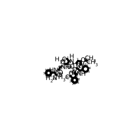 CCC(NC(=O)[C@@H]1C[C@@H](OC(C)(C)C)CN1C(=O)[C@@H](NC(=O)c1ccccc1C(C)=O)C1CCCCC1)C(=O)C(=O)NCC(=O)N[C@H](C(N)=O)c1ccccc1